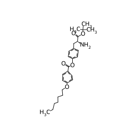 CCCCCCCOc1ccc(C(=O)Oc2ccc(C[C@H](N)C(=O)OC(C)(C)C)cc2)cc1